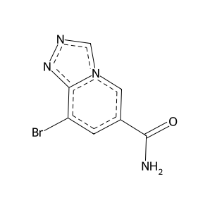 NC(=O)c1cc(Br)c2nncn2c1